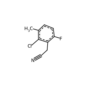 Cc1ccc(F)c(CC#N)c1Cl